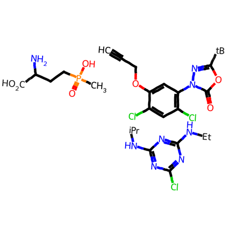 C#CCOc1cc(-n2nc(C(C)(C)C)oc2=O)c(Cl)cc1Cl.CCNc1nc(Cl)nc(NC(C)C)n1.CP(=O)(O)CCC(N)C(=O)O